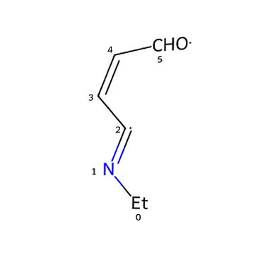 CC/N=[C]/C=C\[C]=O